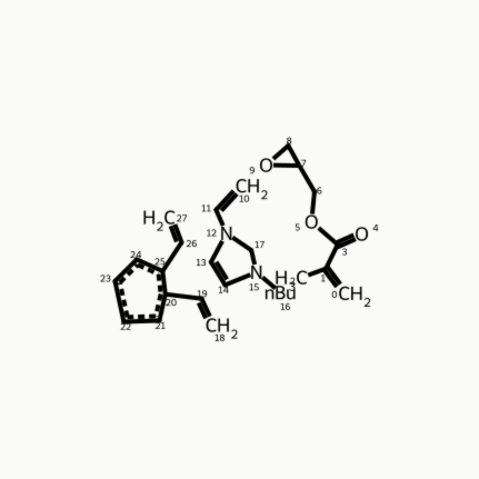 C=C(C)C(=O)OCC1CO1.C=CN1C=CN(CCCC)C1.C=Cc1ccccc1C=C